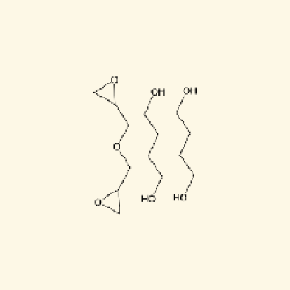 C(OCC1CO1)C1CO1.OCCCCO.OCCCCO